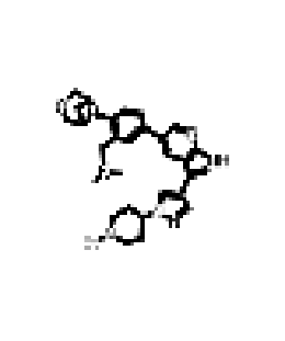 CCN1CCC(n2cc(-c3c[nH]c4ncc(-c5ccc(N6C7COCC6C7)c(CN(C)C)c5)cc34)cn2)CC1